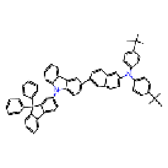 CC(C)(C)c1ccc(N(c2ccc(C(C)(C)C)cc2)c2ccc3cc(-c4ccc5c(c4)c4ccccc4n5-c4ccc5c(c4)C(c4ccccc4)(c4ccccc4)c4ccccc4-5)ccc3c2)cc1